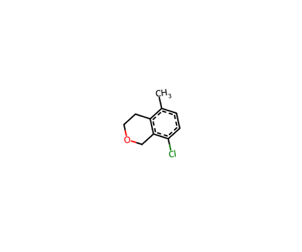 Cc1ccc(Cl)c2c1CCOC2